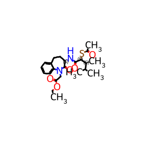 CCOC(=O)CN1C(=O)[C@@H](NC(=O)[C@@H](SC(C)=O)[C@@H](C)C(C)C)CCc2ccccc21